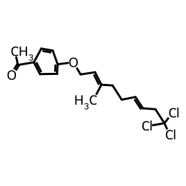 CC(=O)c1ccc(OC/C=C(\C)CC/C=C/CC(Cl)(Cl)Cl)cc1